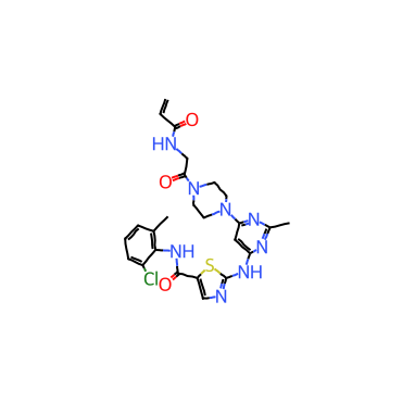 C=CC(=O)NCC(=O)N1CCN(c2cc(Nc3ncc(C(=O)Nc4c(C)cccc4Cl)s3)nc(C)n2)CC1